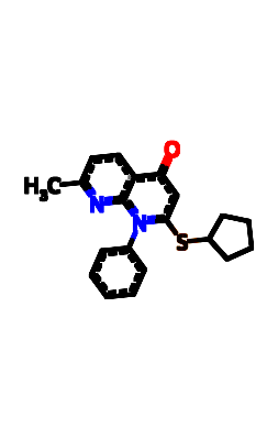 Cc1ccc2c(=O)cc(SC3CCCC3)n(-c3ccccc3)c2n1